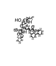 C=C[C@@H]1C[C@]1(NC(=O)[C@@H]1C[C@@H](N2Cc3cccc(-c4ccccc4)c3NC2=O)CN1C(=O)[C@@H](NC(=O)OC1CCCC1)C(C)(C)C)C(=O)O